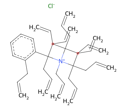 C=CCc1ccccc1C(CC=C)(CC=C)[N+](CC=C)(C(CC=C)(CC=C)CC=C)C(CC=C)(CC=C)CC=C.[Cl-]